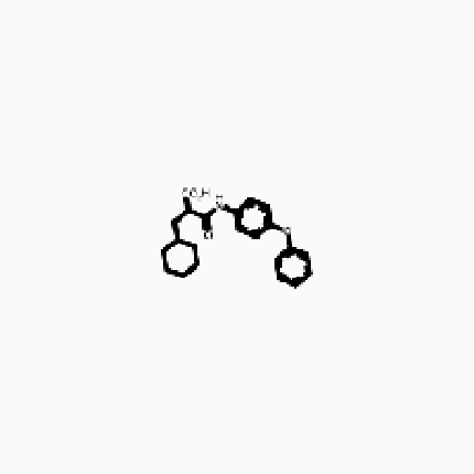 O=C(O)C(CC1CCCCC1)C(=O)Nc1ccc(Oc2ccccc2)cc1